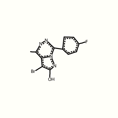 Cc1nnc(-c2ccc(F)cc2)n2nc(O)c(Br)c12